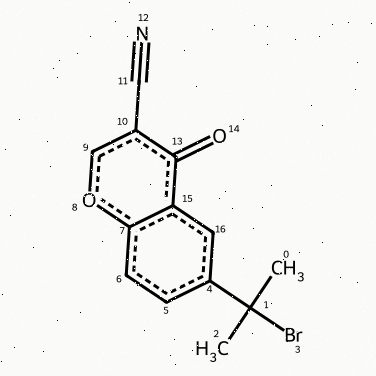 CC(C)(Br)c1ccc2occ(C#N)c(=O)c2c1